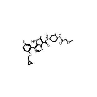 COCC(=O)N[C@H]1CC[C@H](NC(=O)c2c(C)[nH]c3c(-c4cc(F)ccc4OCC4CC4)ncnc23)C[C@H]1C